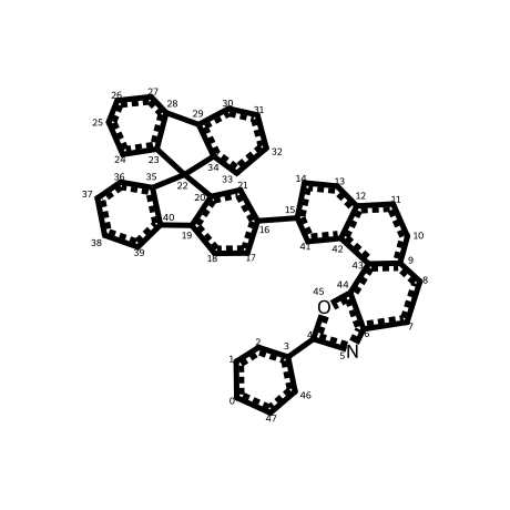 c1ccc(-c2nc3ccc4ccc5ccc(-c6ccc7c(c6)C6(c8ccccc8-c8ccccc86)c6ccccc6-7)cc5c4c3o2)cc1